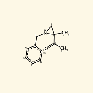 CC(=O)C1(C)CN1Cc1ccccc1